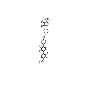 CCOc1ccc(-c2ccc(C3=CCC(OCC4CCC(c5ccc(C)c(F)c5F)CC4)CC3)c(F)c2F)c(F)c1F